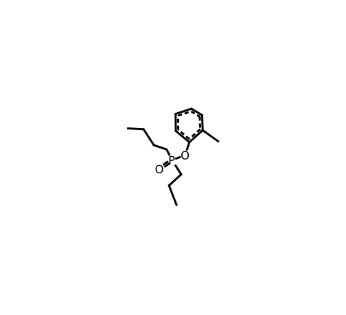 CCCCP(=O)(CCC)Oc1ccccc1C